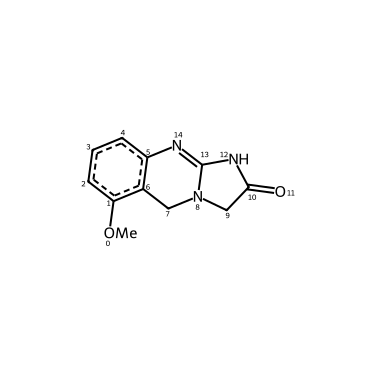 COc1cccc2c1CN1CC(=O)NC1=N2